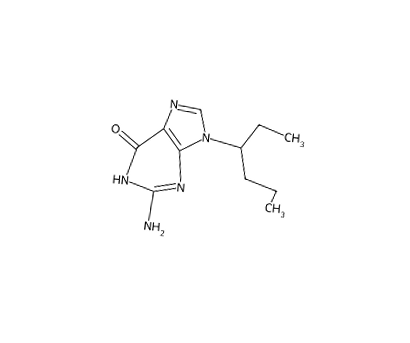 CCCC(CC)n1cnc2c(=O)[nH]c(N)nc21